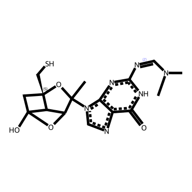 CN(C)/C=N\c1nc2c(ncn2C2(C)O[C@@]3(CS)CC4(O)OC2C43)c(=O)[nH]1